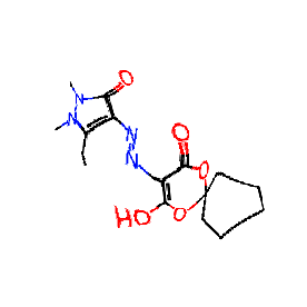 Cc1c(N=NC2=C(O)OC3(CCCCC3)OC2=O)c(=O)n(C)n1C